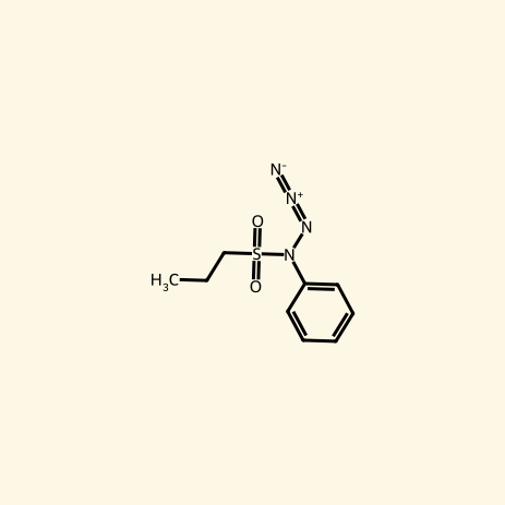 CCCS(=O)(=O)N(N=[N+]=[N-])c1ccccc1